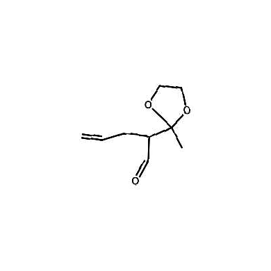 C=CCC(C=O)C1(C)OCCO1